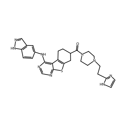 O=C(C1CCc2c(sc3ncnc(Nc4ccc5[nH]ncc5c4)c23)C1)N1CCN(CCc2ncc[nH]2)CC1